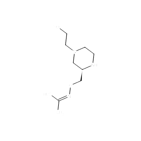 CC(C)=NOC[C@H]1CN(CCO)CCN1